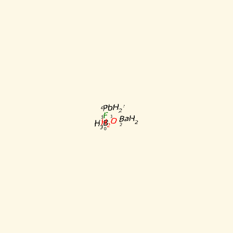 B.O.[BaH2].[F].[PbH2]